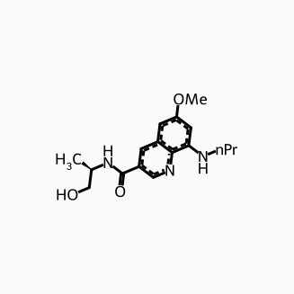 CCCNc1cc(OC)cc2cc(C(=O)N[C@H](C)CO)cnc12